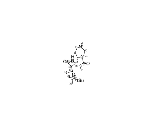 CC(C(=O)N1CCCN(C)CC1)[C@H]1NC(=O)[C@@H]1C(C)O[Si](C)(C)C(C)(C)C